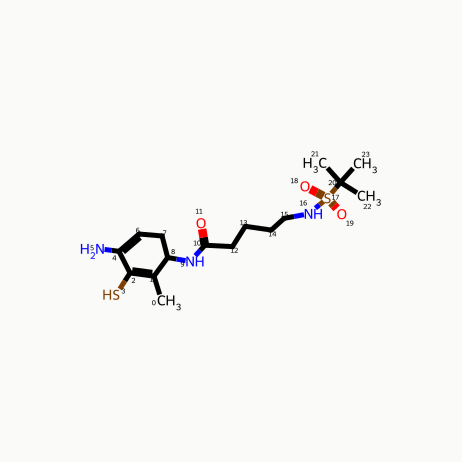 CC1=C(S)C(N)=CCC1NC(=O)CCCCNS(=O)(=O)C(C)(C)C